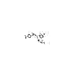 CN1CCN(C(=O)OCC(Oc2ccc(F)c(C(N)=O)c2F)c2nc(-c3ccc(C(F)(F)F)cc3)c(Br)o2)CC1